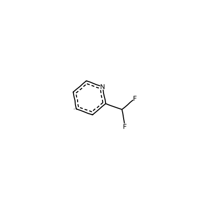 FC(F)c1c[c]ccn1